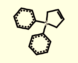 C1=CCS(c2ccccc2)(c2ccccc2)C1